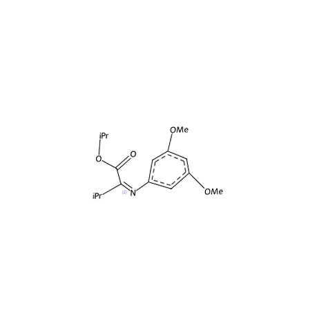 COc1cc(/N=C(\C(=O)OC(C)C)C(C)C)cc(OC)c1